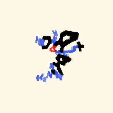 CC(C)(C)n1c(-c2ccccc2C(=O)NC2CCNCC2)nc2cc(-c3cnc(N)nc3)ccc21